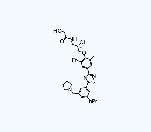 CCCc1cc(CN2CCCC2)cc(-c2nc(-c3cc(C)c(OC[C@@H](O)CNC(=O)CO)c(CC)c3)no2)c1